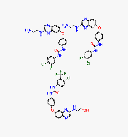 NCCNc1cnc2ccc(Oc3ccc(NC(=O)Nc4ccc(Cl)c(F)c4)cc3)cc2n1.NCCNc1cnc2ccc(Oc3ccc(NC(=O)Nc4ccc(F)c(Cl)c4)cc3)cc2n1.O=C(Nc1ccc(Oc2ccc3ncc(NCCO)nc3c2)cc1)Nc1ccc(Cl)c(C(F)(F)F)c1